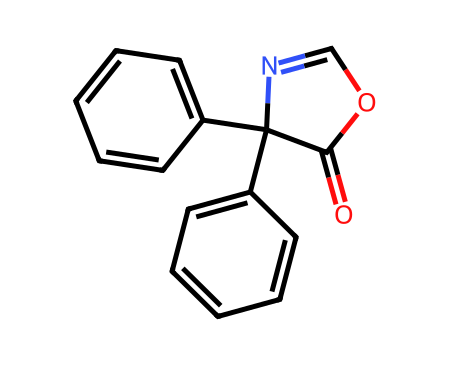 O=C1OC=NC1(c1ccccc1)c1ccccc1